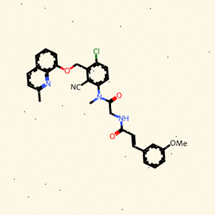 COc1cccc(C=CC(=O)NCC(=O)N(C)c2ccc(Cl)c(COc3cccc4ccc(C)nc34)c2C#N)c1